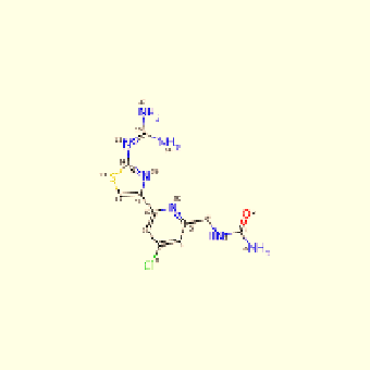 NC(=O)NCc1cc(Cl)cc(-c2csc(N=C(N)N)n2)n1